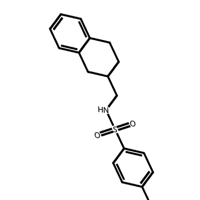 Cc1ccc(S(=O)(=O)NCC2CCc3ccccc3C2)cc1